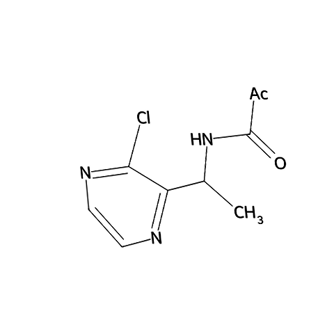 CC(=O)C(=O)NC(C)c1nccnc1Cl